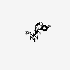 Cc1nc(-c2cn3c(n2)-c2ccc(F)cc2OCC3)n(C(C)C)n1